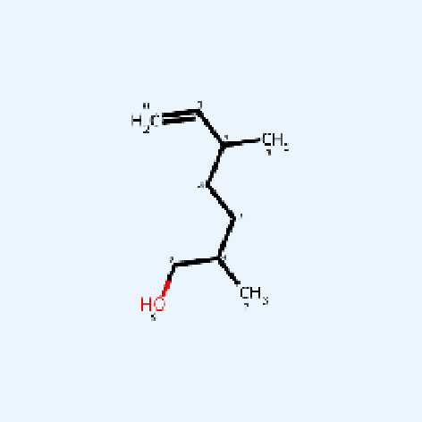 C=CC(C)CCC(C)CO